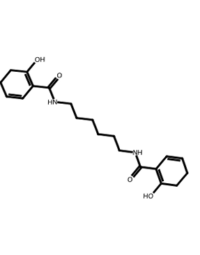 O=C(NCCCCCCNC(=O)C1=C(O)CCC=C1)C1=C(O)CCC=C1